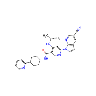 CC(C)Nc1cc(-n2ccc3cc(C#N)cnc32)ncc1C(=O)N[C@H]1CC[C@H](c2ccccn2)CC1